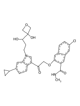 CNC(=O)c1cc2cc(Cl)ccc2cc1OCC(=O)c1cn(CCC(O)C2(O)COC2)c2cc(C3CC3)ccc12